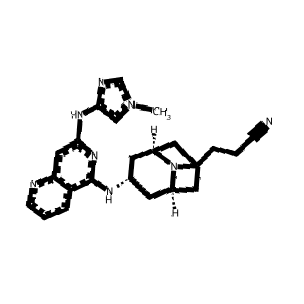 Cn1cnc(Nc2cc3ncccc3c(N[C@H]3C[C@@H]4CC5(CCC#N)C[C@H](C3)N45)n2)c1